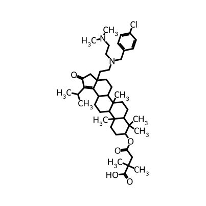 CC(C)C1=C2C3CCC4C(C)(CCC5C(C)(C)C(OC(=O)CC(C)(C)C(=O)O)CCC54C)C3CCC2(CCN(CCN(C)C)Cc2ccc(Cl)cc2)CC1=O